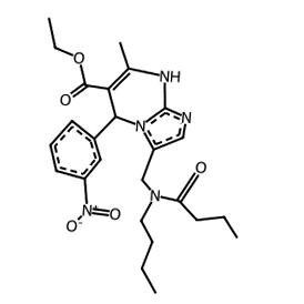 CCCCN(Cc1cnc2n1C(c1cccc([N+](=O)[O-])c1)C(C(=O)OCC)=C(C)N2)C(=O)CCC